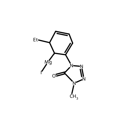 CCC1C=CC=C(n2nnn(C)c2=O)[C]1[Mg][I]